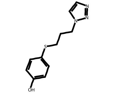 Oc1ccc(SCCCn2ccnn2)cc1